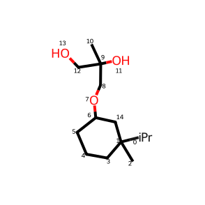 CC(C)C1(C)CCCC(OCC(C)(O)CO)C1